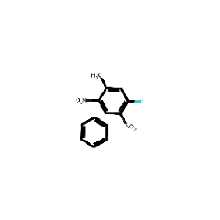 Cc1cc(F)c([N+](=O)[O-])cc1[N+](=O)[O-].c1ccccc1